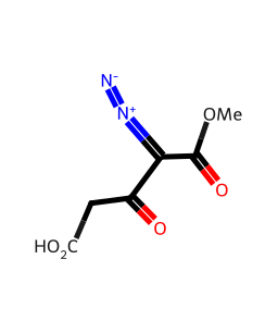 COC(=O)C(=[N+]=[N-])C(=O)CC(=O)O